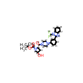 CC(C)(C)OC(=O)N1CC(O)C[C@H]1C(=O)N1CCN(c2cccc(-c3nc4ccccc4n3C(F)F)c2)CC1